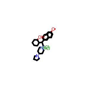 COc1ccc2cc(C(CN3CCC(N4CCCC4)CC3)C3CCCCC3O)ccc2c1.Cl.Cl